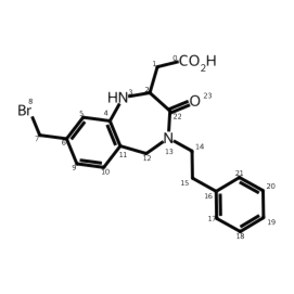 O=C(O)CC1Nc2cc(CBr)ccc2CN(CCc2ccccc2)C1=O